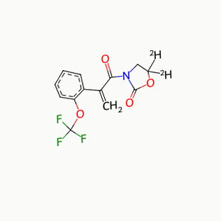 [2H]C1([2H])CN(C(=O)C(=C)c2ccccc2OC(F)(F)F)C(=O)O1